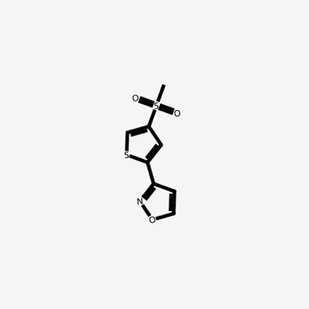 CS(=O)(=O)c1csc(-c2ccon2)c1